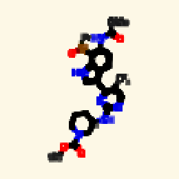 COC(=O)Nc1ccc2c(-c3nc(N[C@H]4CCCN(C(=O)OC(C)(C)C)C4)ncc3C(F)(F)F)c[nH]c2c1[S+]([O-])C(C)C